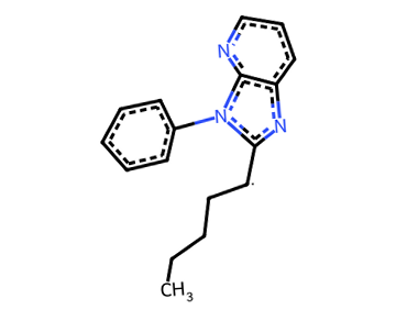 CCCC[CH]c1nc2cccnc2n1-c1ccccc1